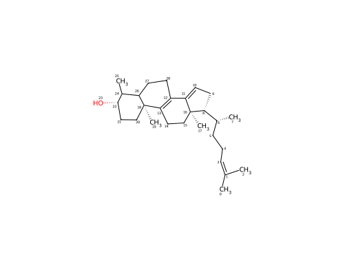 CC(C)=CCC[C@@H](C)[C@H]1CC=C2C3=C(CC[C@@]21C)[C@@]1(C)CC[C@H](O)C(C)C1CC3